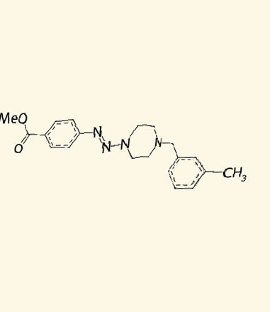 COC(=O)c1ccc(N=NN2CCN(Cc3cccc(C)c3)CC2)cc1